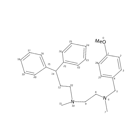 COc1ccc(CN(C)CCN(C)CCC(c2ccccc2)c2ccccc2)cc1